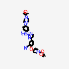 CC(C)(C)OC(=O)N1CCC(Oc2ccc(-c3ccnc(Nc4ccc(N5CCN(C6COC6)CC5)cc4)n3)cc2C#N)CC1